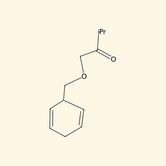 CC(C)C(=O)COCC1C=CCC=C1